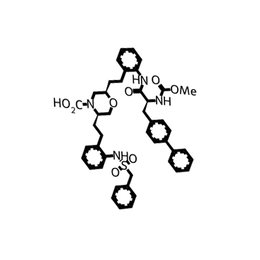 COC(=O)N[C@@H](Cc1ccc(-c2ccccc2)cc1)C(=O)Nc1ccccc1CC[C@@H]1CN(C(=O)O)[C@H](CCc2ccccc2NS(=O)(=O)Cc2ccccc2)CO1